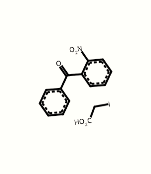 O=C(O)CI.O=C(c1ccccc1)c1ccccc1[N+](=O)[O-]